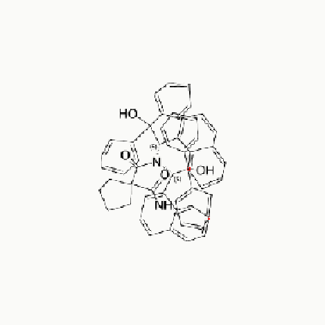 NC(=O)C1(C(=O)N([C@@H](c2cccc3ccccc23)C(O)(c2ccccc2)c2ccccc2)[C@@H](c2cccc3ccccc23)C(O)(c2ccccc2)c2ccccc2)CCCC1